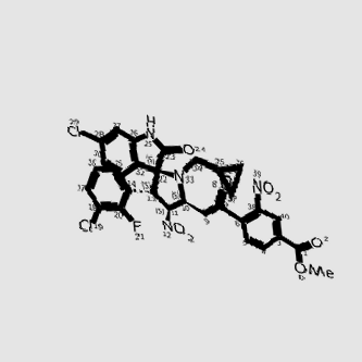 COC(=O)c1ccc(C(=O)C[C@H]2[C@@H]([N+](=O)[O-])[C@H](c3cccc(Cl)c3F)[C@]3(C(=O)Nc4cc(Cl)ccc43)N2CC2CC2)c([N+](=O)[O-])c1